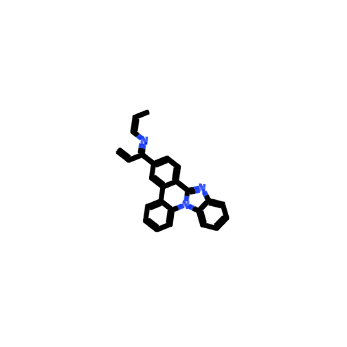 C=C/C(=N\C=C/C)c1ccc2c(c1)c1ccccc1n1c3ccccc3nc21